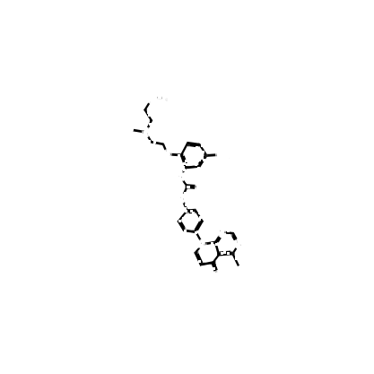 COCCN(C)CCOc1ccc(C(F)(F)F)cc1NC(=O)Nc1ccc(-n2ccc(=O)c3c(C)ncnc32)cc1